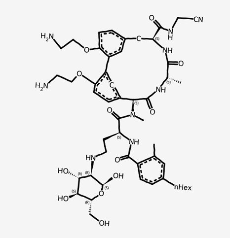 CCCCCCc1ccc(C(=O)N[C@@H](CCN[C@@H]2[C@@H](O)[C@H](O)[C@@H](CO)O[C@@H]2O)C(=O)N(C)[C@@H]2C(=O)N[C@@H](C)C(=O)N[C@H](C(=O)NCC#N)Cc3ccc(OCCN)c(c3)-c3cc2ccc3OCCN)c(C)c1